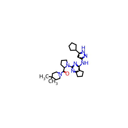 CC1(C)CCN(C(=O)C2CCCN2c2nc3c(c(Nc4cc(C5CCCC5)[nH]n4)n2)CCC3)CC1